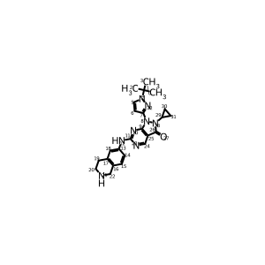 CC(C)(C)n1ccc(-n2c3nc(Nc4ccc5c(c4)CCNC5)ncc3c(=O)n2C2CC2)n1